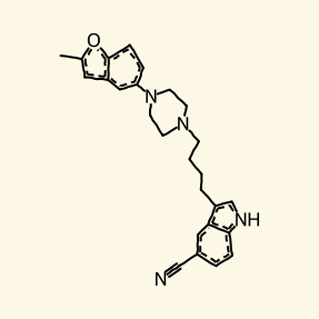 Cc1cc2cc(N3CCN(CCCCc4c[nH]c5ccc(C#N)cc45)CC3)ccc2o1